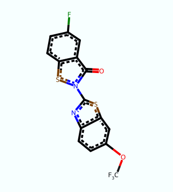 O=c1c2cc(F)ccc2sn1-c1nc2ccc(OC(F)(F)F)cc2s1